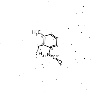 CCc1c(C)cccc1N=C=O